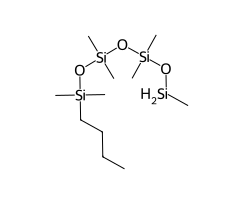 CCCC[Si](C)(C)O[Si](C)(C)O[Si](C)(C)O[SiH2]C